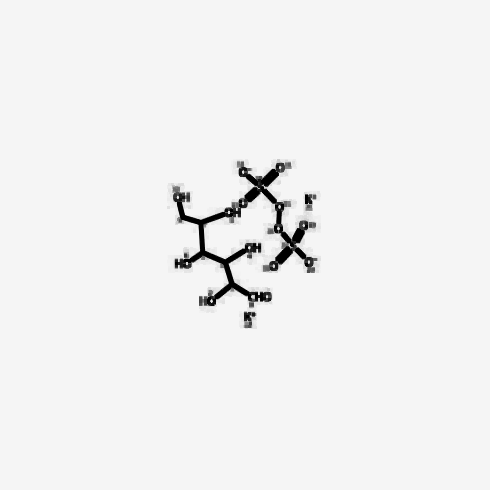 O=CC(O)C(O)C(O)C(O)CO.O=S(=O)([O-])OOS(=O)(=O)[O-].[K+].[K+]